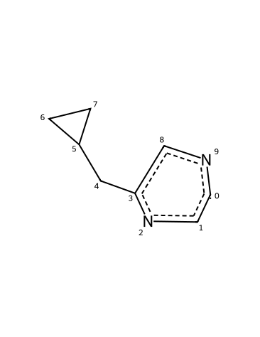 [c]1cnc(CC2CC2)cn1